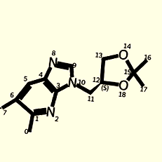 Cc1nc2c(cc1Br)ncn2C[C@H]1COC(C)(C)O1